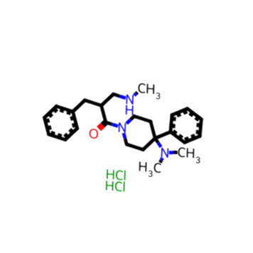 CNCC(Cc1ccccc1)C(=O)N1CCC(c2ccccc2)(N(C)C)CC1.Cl.Cl